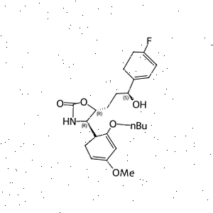 CCCCOC1=CC(OC)=CCC1[C@H]1NC(=O)O[C@@H]1CC[C@H](O)C1=CC=C(F)CC1